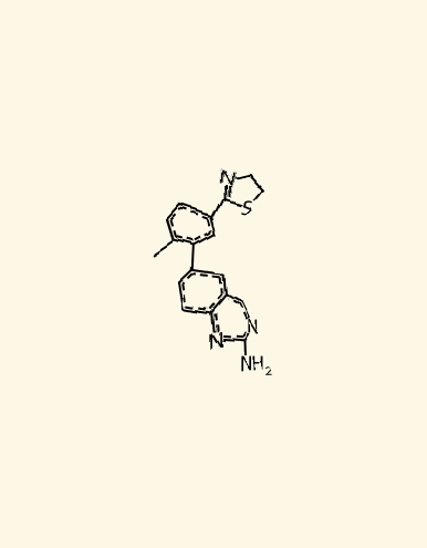 Cc1ccc(C2=NCCS2)cc1-c1ccc2nc(N)ncc2c1